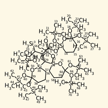 CCC([SiH3])C(C(=O)O[Si]1(O[Si](C)(C)C)CCCC(O[Si](C)(C)C)(O[Si](C)(C)C)O1)=C([Si]1(O[Si](C)(C)C)CCCC(O[Si](C)(C)C)(O[Si](C)(C)C)O1)[Si]1(O[Si](C)(C)C)CCCC(O[Si](C)(C)C)(O[Si](C)(C)C)O1